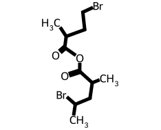 CC(Br)CC(C)C(=O)OC(=O)C(C)CCBr